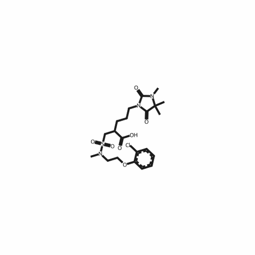 CN1C(=O)N(CCCC(CS(=O)(=O)N(C)CCOc2ccccc2Cl)C(=O)O)C(=O)C1(C)C